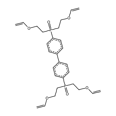 C=COCCP(=O)(CCOC=C)c1ccc(-c2ccc(P(=O)(CCOC=C)CCOC=C)cc2)cc1